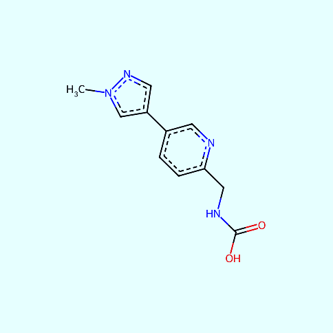 Cn1cc(-c2ccc(CNC(=O)O)nc2)cn1